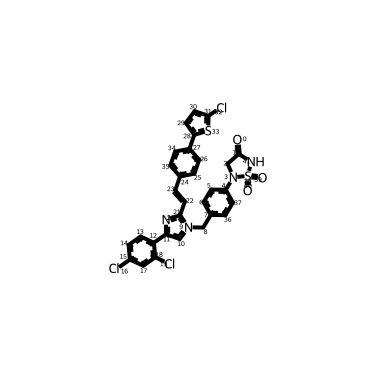 O=C1CN(c2ccc(Cn3cc(-c4ccc(Cl)cc4Cl)nc3C=Cc3ccc(-c4ccc(Cl)s4)cc3)cc2)S(=O)(=O)N1